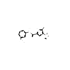 Cc1[nH]c(C(=O)Nc2cccc(C#N)c2)cc1S(=O)(=O)Cl